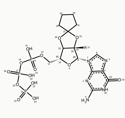 Nc1nc2c(ncn2[C@@H]2O[C@H](COP(=O)(O)OP(=O)(O)OP(=O)(O)O)C3OC4(CCCC4)O[C@@H]32)c(=O)[nH]1